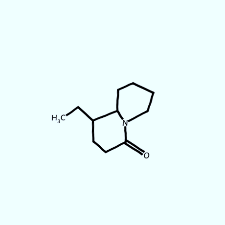 CCC1CCC(=O)N2CCCCC12